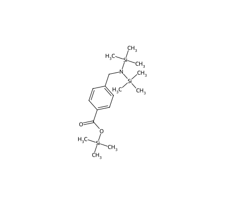 C[Si](C)(C)OC(=O)c1ccc(CN([Si](C)(C)C)[Si](C)(C)C)cc1